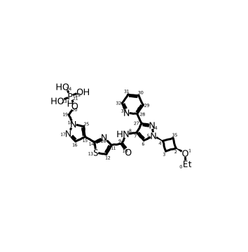 CCO[C@H]1C[C@@H](n2cc(NC(=O)c3csc(-c4cnn(CO[PH](O)(O)O)c4)n3)c(-c3ccccn3)n2)C1